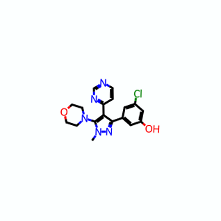 Cn1nc(-c2cc(O)cc(Cl)c2)c(-c2ccncn2)c1N1CCOCC1